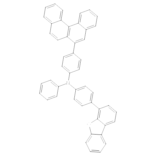 c1ccc(N(c2ccc(-c3cc4ccccc4c4c3ccc3ccccc34)cc2)c2ccc(-c3cccc4c3oc3ccccc34)cc2)cc1